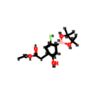 CCOC(=O)Cc1cc(F)c(B2OC(C)(C)C(C)(C)O2)cc1O